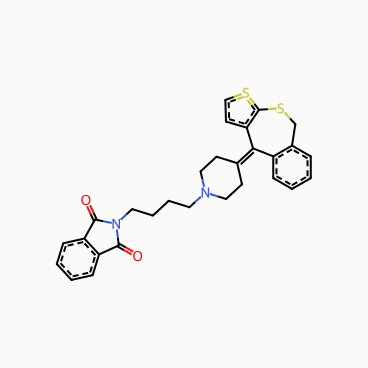 O=C1c2ccccc2C(=O)N1CCCCN1CCC(=C2c3ccccc3CSc3sccc32)CC1